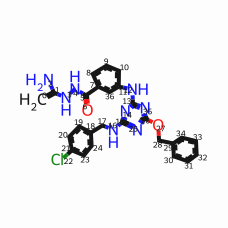 C=C(N)NNC(=O)c1cccc(Nc2nc(NCc3ccc(Cl)cc3)nc(OCc3ccccc3)n2)c1